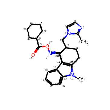 Cc1nccn1CC1CCc2c(c3ccccc3n2C)C1=NOC(=O)C1CCCCC1